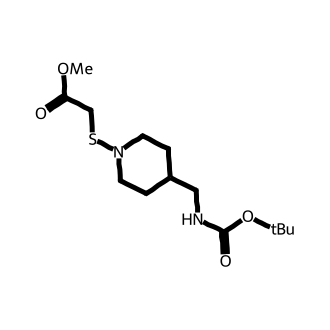 COC(=O)CSN1CCC(CNC(=O)OC(C)(C)C)CC1